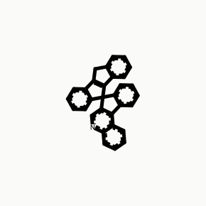 c1ccc2c(c1)CC1=C2C2(c3ccccc31)c1ccccc1-c1c2cnc2ccccc12